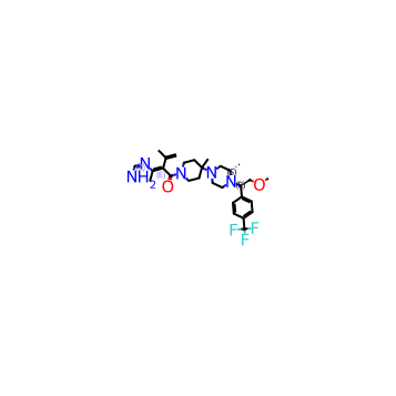 C=C(C)/C(C(=O)N1CCC(C)(N2CCN([C@@H](COC)c3ccc(C(F)(F)F)cc3)[C@@H](C)C2)CC1)=C(C)\N=C/N